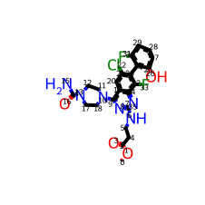 COC(=O)CCNc1nc(N2CCN(C(N)=O)CC2)c2cc(Cl)c(-c3c(O)cccc3F)c(F)c2n1